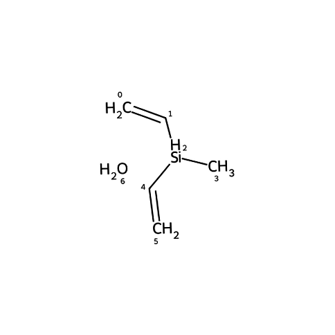 C=C[SiH](C)C=C.O